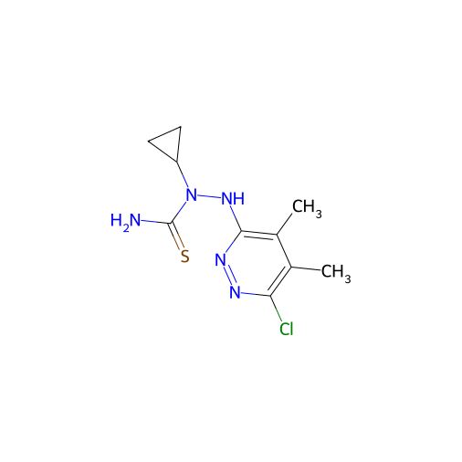 Cc1c(Cl)nnc(NN(C(N)=S)C2CC2)c1C